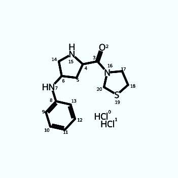 Cl.Cl.O=C(C1CC(Nc2ccccc2)CN1)N1CCSC1